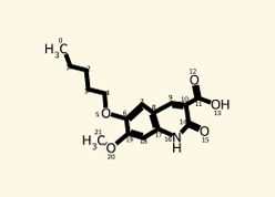 CCCCCOc1cc2cc(C(=O)O)c(=O)[nH]c2cc1OC